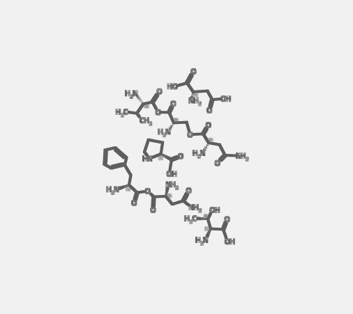 CC(C)[C@H](N)C(=O)OC(=O)[C@@H](N)COC(=O)[C@@H](N)CC(N)=O.C[C@@H](O)[C@H](N)C(=O)O.NC(=O)C[C@H](N)C(=O)OC(=O)[C@@H](N)Cc1ccccc1.N[C@@H](CC(=O)O)C(=O)O.O=C(O)[C@@H]1CCCN1